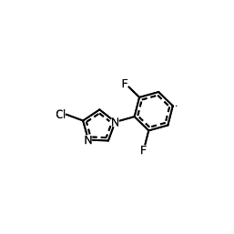 Fc1c[c]cc(F)c1-n1cnc(Cl)c1